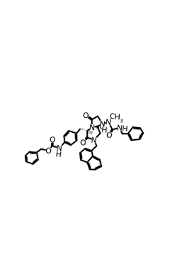 CN(C(=O)NCc1ccccc1)N1CC(=O)N2[C@@H](Cc3ccc(NC(=O)OCc4ccccc4)cc3)C(=O)N(Cc3cccc4ccccc34)C[C@@H]21